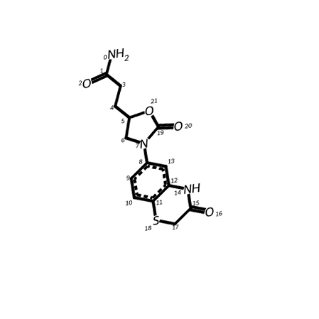 NC(=O)CCC1CN(c2ccc3c(c2)NC(=O)CS3)C(=O)O1